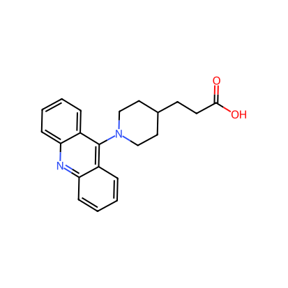 O=C(O)CCC1CCN(c2c3ccccc3nc3ccccc23)CC1